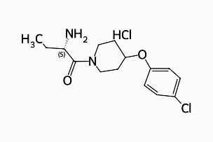 CC[C@H](N)C(=O)N1CCC(Oc2ccc(Cl)cc2)CC1.Cl